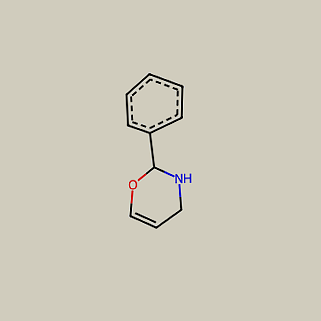 C1=COC(c2ccccc2)NC1